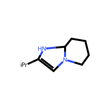 CC(C)C1=CN2CCCCC2N1